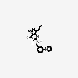 CCCc1nn(C)c2c(=O)[nH]c(NCc3cccc(-n4cccc4)c3)nc12